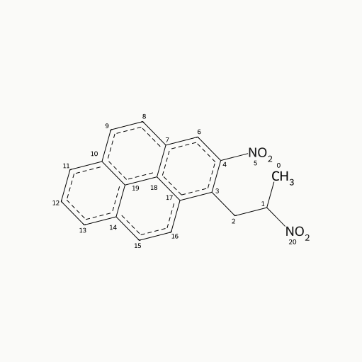 CC(Cc1c([N+](=O)[O-])cc2ccc3cccc4ccc1c2c34)[N+](=O)[O-]